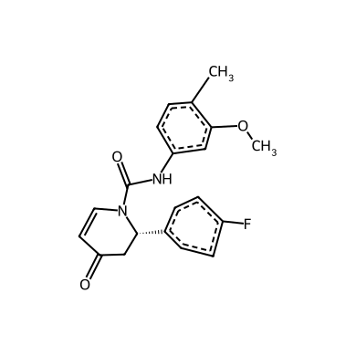 COc1cc(NC(=O)N2C=CC(=O)C[C@H]2c2ccc(F)cc2)ccc1C